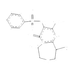 CC[C@H]1COCC(Br)c2nc(C(=O)O)c(OS(=O)(=O)c3ccccc3)c(=O)n21